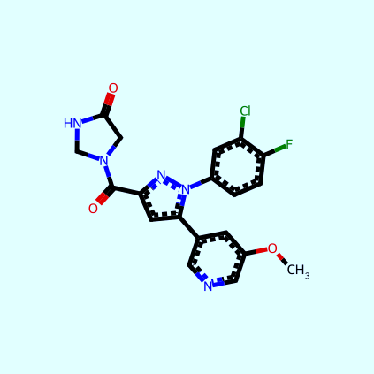 COc1cncc(-c2cc(C(=O)N3CNC(=O)C3)nn2-c2ccc(F)c(Cl)c2)c1